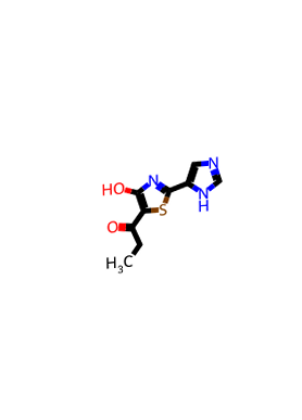 CCC(=O)c1sc(-c2cnc[nH]2)nc1O